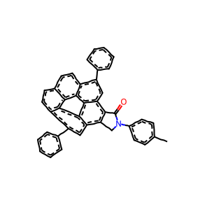 Cc1ccc(N2Cc3c(c4cc(-c5ccccc5)c5ccc6ccc7c(-c8ccccc8)cc3c3c7c6c5c43)C2=O)cc1